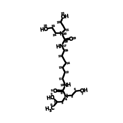 CC(O)CN(CCO)C(=O)NCCCCCCNC(=O)N(CCO)CCO